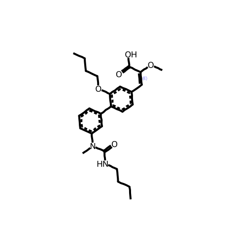 CCCCNC(=O)N(C)c1cccc(-c2ccc(/C=C(/OC)C(=O)O)cc2OCCCC)c1